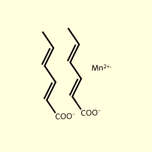 CC=CC=CC(=O)[O-].CC=CC=CC(=O)[O-].[Mn+2]